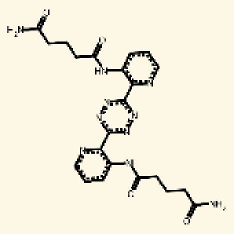 NC(=O)CCCC(=O)Nc1cccnc1-c1nnc(-c2ncccc2NC(=O)CCCC(N)=O)nn1